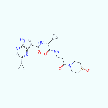 O=C(N[C@@H](C(=O)NCCC(=O)N1CC[S+]([O-])CC1)C1CC1)c1c[nH]c2ncc(C3CC3)nc12